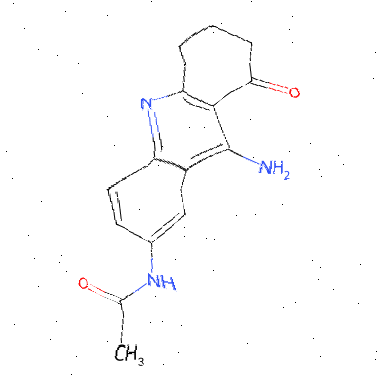 CC(=O)Nc1ccc2nc3c(c(N)c2c1)C(=O)CCC3